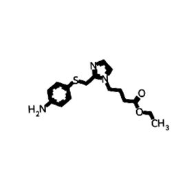 CCOC(=O)CCCn1ccnc1CSc1ccc(N)cc1